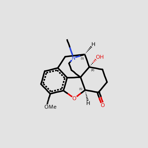 COc1ccc2c3c1O[C@@H]1C(=O)CC[C@]4(O)[C@H](C2)N(C)CCC314